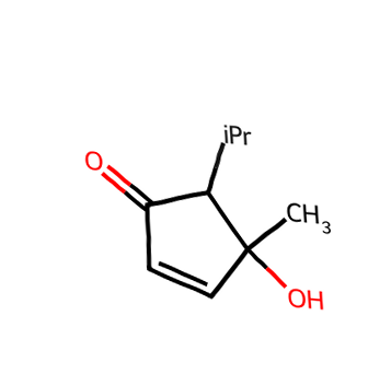 CC(C)C1C(=O)C=CC1(C)O